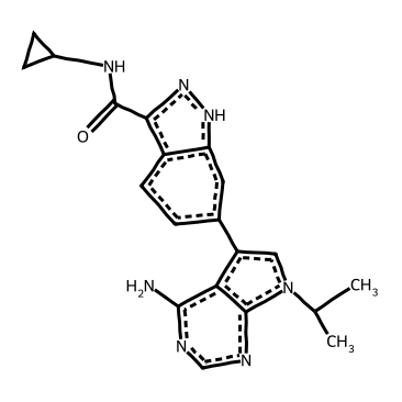 CC(C)n1cc(-c2ccc3c(C(=O)NC4CC4)n[nH]c3c2)c2c(N)ncnc21